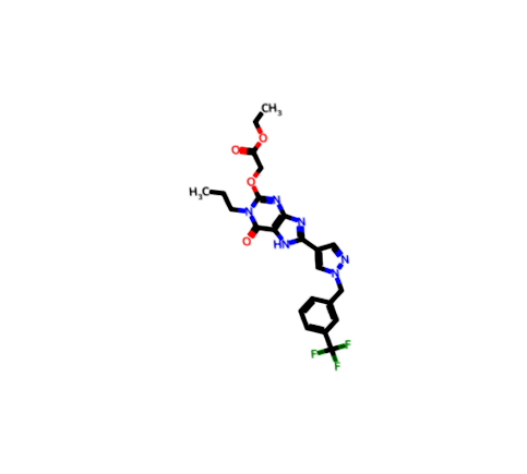 CCCn1c(OCC(=O)OCC)nc2nc(-c3cnn(Cc4cccc(C(F)(F)F)c4)c3)[nH]c2c1=O